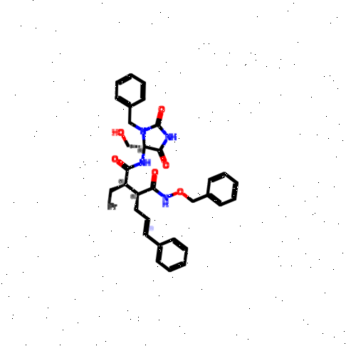 CC(C)C[C@@H](C(=O)N[C@]1(CO)C(=O)NC(=O)N1Cc1ccccc1)[C@H](C/C=C/c1ccccc1)C(=O)NOCc1ccccc1